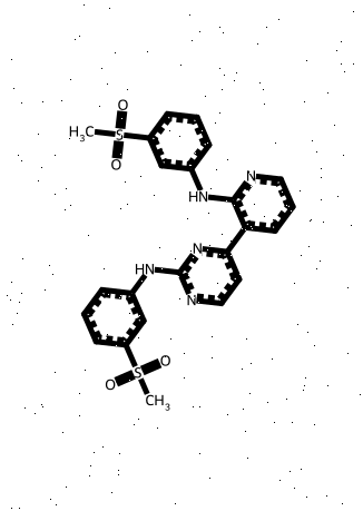 CS(=O)(=O)c1cccc(Nc2nccc(-c3cccnc3Nc3cccc(S(C)(=O)=O)c3)n2)c1